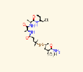 C=C/C(=C\CC)NC(=O)[C@H](C)NC(=O)[C@H](C)NC(=O)CCC(C)(C)SSC(C)CC(C(N)=O)S(=O)(=O)O